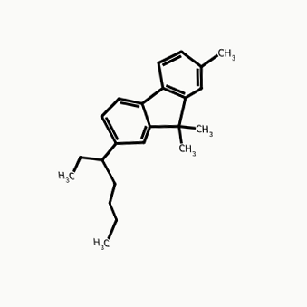 CCCCC(CC)c1ccc2c(c1)C(C)(C)c1cc(C)ccc1-2